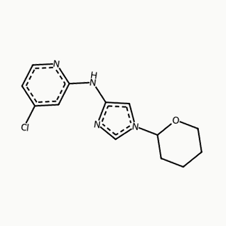 Clc1ccnc(Nc2cn(C3CCCCO3)cn2)c1